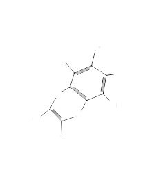 [2H]C1=C([2H])Oc2c(F)c(O)c([2H])c([2H])c2O1